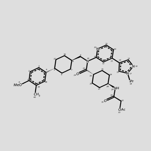 COc1ccc([C@H]2CC[C@H](CN(c3cc(-c4cnn(C(C)C)c4)ccn3)C(=O)[C@H]3CC[C@H](NC(=O)COC(C)=O)CC3)CC2)cc1C